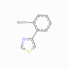 COc1ccc[c]c1-c1cscn1